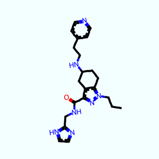 CCCn1nc(C(=O)NCc2ncc[nH]2)c2c1CCC(NCCc1ccncc1)C2